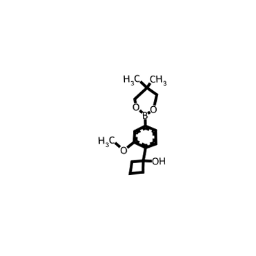 COc1cc(B2OCC(C)(C)CO2)ccc1C1(O)CCC1